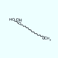 COCCCCCCCCCCCCCCCCOCC(O)CO